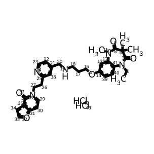 CCN1C(=O)C(C)(C)C(=O)N(C)c2cc(OCCCNCc3ccnc(CCn4ccc5occc5c4=O)c3)ccc21.Cl.Cl